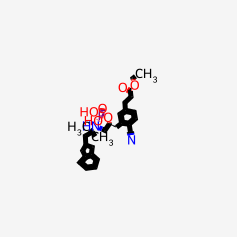 CCOC(=O)CCc1ccc(C#N)c(C[C@H](CNC(C)(C)CC2Cc3ccccc3C2)OP(=O)(O)O)c1